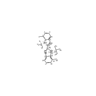 Cc1cccc2c1[P@@](C(C)(C)C)[C@H]([C@@H]1Oc3cccc(C)c3[P@@]1C(C)(C)C)O2